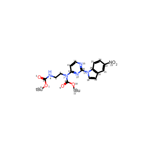 CC(C)(C)OC(=O)NCCN(C(=O)OC(C)(C)C)c1ccnc(-n2ccc3cc([N+](=O)[O-])ccc32)n1